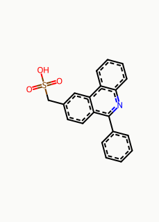 O=S(=O)(O)Cc1ccc2c(-c3ccccc3)nc3ccccc3c2c1